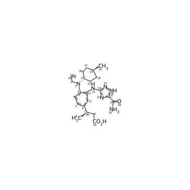 CC(C)CN(c1ccc([C@H](C)CC(=O)O)cc1Nc1n[nH]c(C(N)=O)n1)[C@H]1CC[C@H](C)CC1